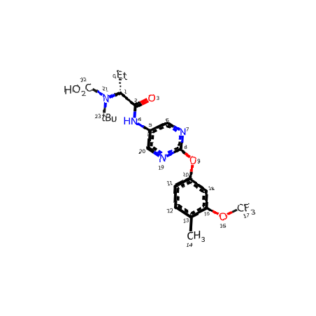 CC[C@H](C(=O)Nc1cnc(Oc2ccc(C)c(OC(F)(F)F)c2)nc1)N(C(=O)O)C(C)(C)C